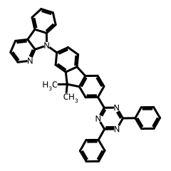 CC1(C)c2cc(-c3nc(-c4ccccc4)nc(-c4ccccc4)n3)ccc2-c2ccc(-n3c4ccccc4c4cccnc43)cc21